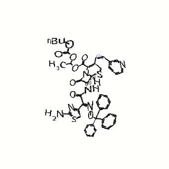 CCCCOC(=O)OC(C)OC(=O)C1=C(/C=C\c2cccnc2)CS[C@H]2[C@H](NC(=O)C(=NOC(c3ccccc3)(c3ccccc3)c3ccccc3)c3csc(N)n3)C(=O)N12